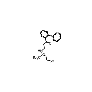 O=C(CCN[C@@H](CCS)C(=O)O)c1ccccc1-c1ccccc1